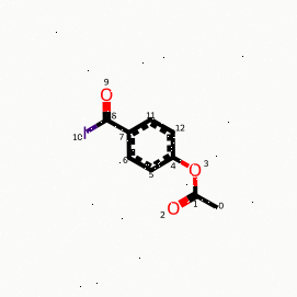 CC(=O)Oc1ccc(C(=O)I)cc1